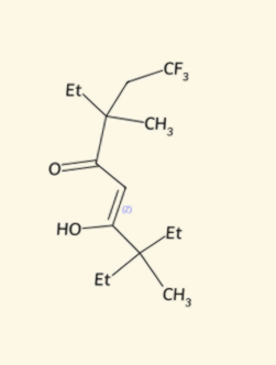 CCC(C)(CC(F)(F)F)C(=O)/C=C(\O)C(C)(CC)CC